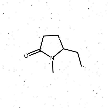 [CH2]CC1CCC(=O)N1C